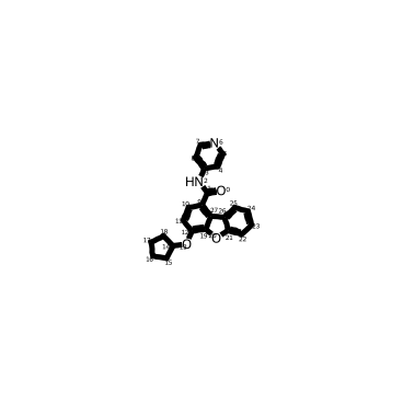 O=C(Nc1ccncc1)c1ccc(OC2CCCC2)c2oc3ccccc3c12